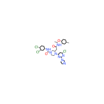 Cc1ccc(OC(C)NC(=O)CC2CN(C(=O)Nc3ccc(Cl)c(Cl)c3)CCN2c2cc(Cl)nc(-n3ccnc3)n2)cc1